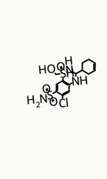 NS(=O)(=O)c1cc2c(cc1Cl)NC(C1CC=CCC1)N[SH]2(=O)CO